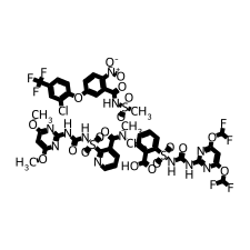 COc1cc(OC)nc(NC(=O)NS(=O)(=O)c2ncccc2C(=O)N(C)C)n1.CS(=O)(=O)NC(=O)c1cc(Oc2ccc(C(F)(F)F)cc2Cl)ccc1[N+](=O)[O-].O=C(Nc1nc(OC(F)F)cc(OC(F)F)n1)NS(=O)(=O)c1ccccc1C(=O)O